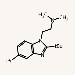 CC(C)c1ccc2c(c1)nc(C(C)(C)C)n2CCN(C)C